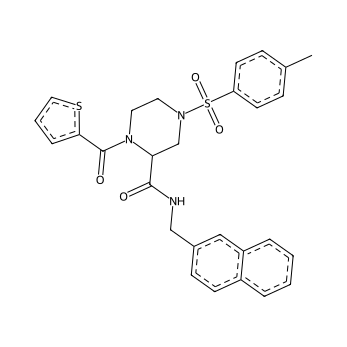 Cc1ccc(S(=O)(=O)N2CCN(C(=O)c3cccs3)C(C(=O)NCc3ccc4ccccc4c3)C2)cc1